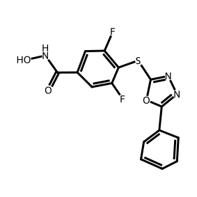 O=C(NO)c1cc(F)c(Sc2nnc(-c3ccccc3)o2)c(F)c1